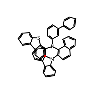 c1ccc(-c2cccc(N(c3c(-n4c5ccccc5c5ccccc54)ccc4ccccc34)c3cccc4c3sc3ccccc34)c2)cc1